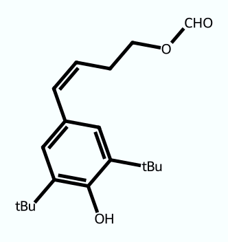 CC(C)(C)c1cc(/C=C\CCOC=O)cc(C(C)(C)C)c1O